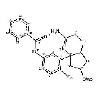 COC1CC2CSC(N)=NC2(c2cc(NC(=O)c3ccccn3)ccc2F)C1